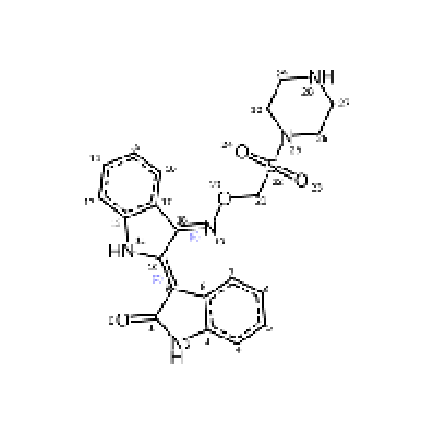 O=C1Nc2ccccc2/C1=C1/Nc2ccccc2/C1=N\OCS(=O)(=O)N1CCNCC1